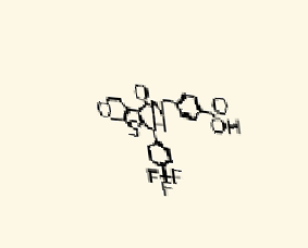 O=C(O)c1ccc(CNC(=O)c2c(Cc3ccc(C(F)(F)F)cc3)sc3c2CCOC3)cc1